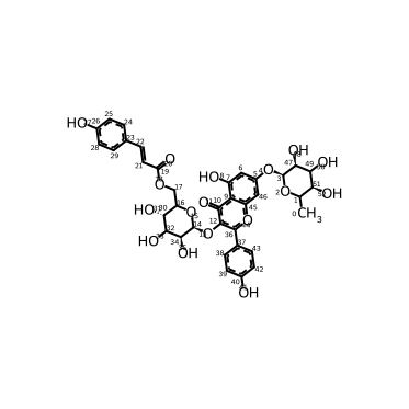 CC1O[C@@H](Oc2cc(O)c3c(=O)c(O[C@@H]4OC(COC(=O)/C=C/c5ccc(O)cc5)[C@@H](O)C(O)[C@@H]4O)c(-c4ccc(O)cc4)oc3c2)[C@@H](O)C(O)[C@H]1O